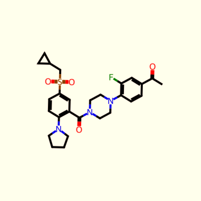 CC(=O)c1ccc(N2CCN(C(=O)c3cc(S(=O)(=O)CC4CC4)ccc3N3CCCC3)CC2)c(F)c1